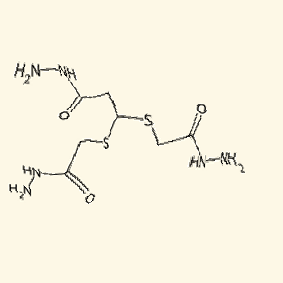 NNC(=O)CSC(CC(=O)NN)SCC(=O)NN